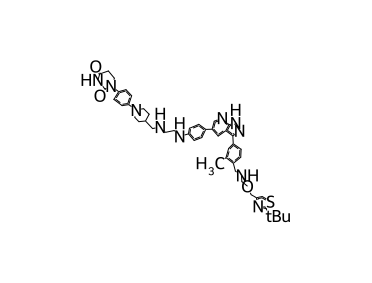 Cc1cc(-c2n[nH]c3ncc(-c4ccc(NCCNCC5CCN(c6ccc(N7CCC(=O)NC7=O)cc6)CC5)cc4)cc23)ccc1CNCOCc1csc(C(C)(C)C)n1